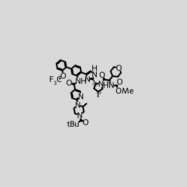 COC(=O)N[C@H](C(=O)N1C[C@@H](C)C[C@H]1c1nc(-c2ccc(-c3ccccc3OC(F)(F)F)cc2NC(=O)c2ccc(N3CCN(C(=O)C(C)(C)C)CC3C)nc2)c[nH]1)C1CCOCC1